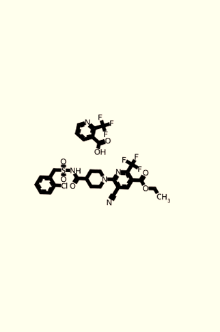 CCOC(=O)c1cc(C#N)c(N2CCC(C(=O)NS(=O)(=O)Cc3ccccc3Cl)CC2)nc1C(F)(F)F.O=C(O)c1cccnc1C(F)(F)F